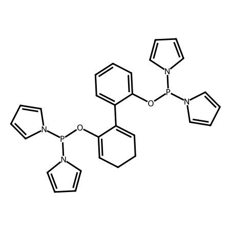 C1=C(OP(n2cccc2)n2cccc2)C(c2ccccc2OP(n2cccc2)n2cccc2)=CCC1